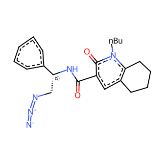 CCCCn1c2c(cc(C(=O)N[C@H](CN=[N+]=[N-])c3ccccc3)c1=O)CCCC2